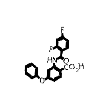 O=C(Nc1cc(Oc2ccccc2)ccc1C(=O)O)c1ccc(F)cc1F